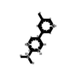 Cc1cncc(-c2cnc(N(C)C)nc2)c1